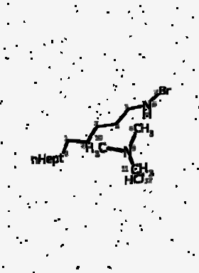 CCCCCCCCCCCCNBr.CN(C)C.Cl